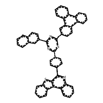 c1ccc2cc(-c3nc(-c4ccc(-c5nc6ccccc6c6c5sc5ccccc56)cc4)nc(-c4ccc5c6ccccc6c6ccccc6c5c4)n3)ccc2c1